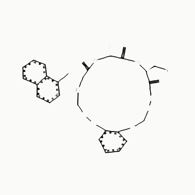 CC(C)C[C@@H]1NC(=O)[C@@H](C(C)C)NC(=O)[C@@H](Cc2cccc3ccccc23)NCCOc2ccccc2CCCNC1=O